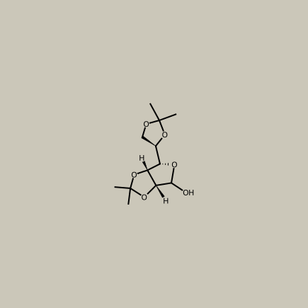 CC1(C)OC[C@H]([C@@H]2OC(O)[C@@H]3OC(C)(C)O[C@H]23)O1